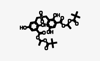 CC(OC(=O)c1cc(O)cc(CS(=O)(=O)Cc2cc(O)cc(C(=O)OC(C)OC(=O)C(C)(C)C)c2O)c1O)OC(=O)C(C)(C)C